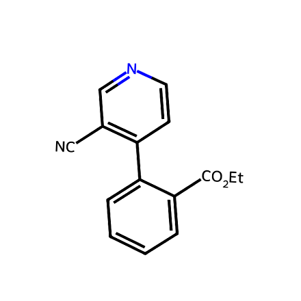 CCOC(=O)c1ccccc1-c1ccncc1C#N